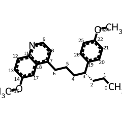 [CH2]CC[C@H](CCCc1ccnc2ccc(OC)cc12)c1ccc(OC)cc1